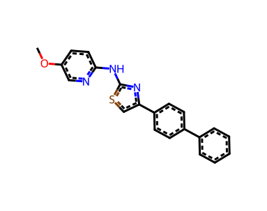 COc1ccc(Nc2nc(-c3ccc(-c4ccccc4)cc3)cs2)nc1